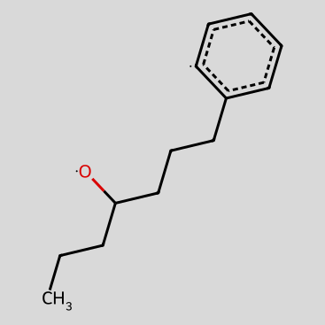 CCCC([O])CCCc1[c]cccc1